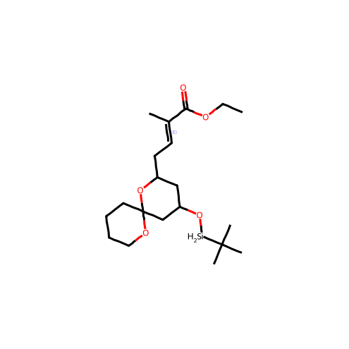 CCOC(=O)/C(C)=C/CC1CC(O[SiH2]C(C)(C)C)CC2(CCCCO2)O1